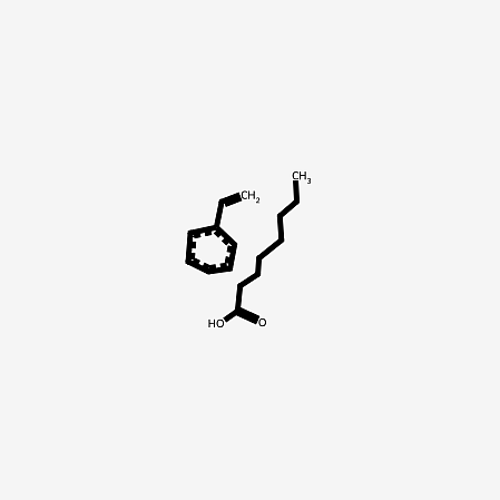 C=Cc1ccccc1.CCCCCCCC(=O)O